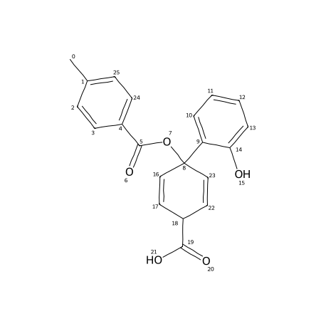 Cc1ccc(C(=O)OC2(c3ccccc3O)C=CC(C(=O)O)C=C2)cc1